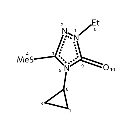 CCn1nc(SC)n(C2CC2)c1=O